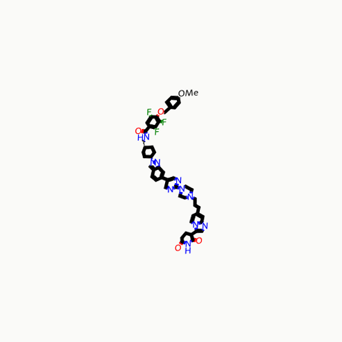 COc1ccc(COc2c(F)cc(C(=O)NC[C@H]3CC[C@H](n4cc5ccc(-c6cnc(N7CCN(CCCc8ccn9c(C%10CCC(=O)NC%10=O)cnc9c8)CC7)nc6)cc5n4)CC3)c(F)c2F)cc1